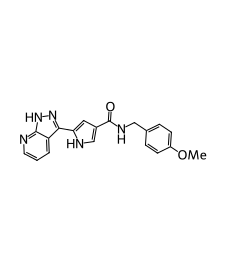 COc1ccc(CNC(=O)c2c[nH]c(-c3n[nH]c4ncccc34)c2)cc1